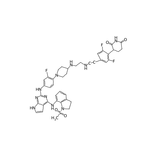 CS(=O)(=O)N1CCc2cccc(Nc3nc(Nc4ccc(N5CCC(NCCNCCc6cc(F)c(C7CCC(=O)NC7=O)c(F)c6)CC5)c(F)c4)nc4[nH]ccc34)c21